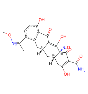 CO/N=C(/C)c1ccc(O)c2c1C[C@H]1C[C@H]3CC(O)=C(C(N)=O)C(=O)[C@@]3(N=O)C(O)=C1C2=O